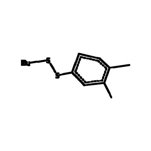 CCC(C)SSc1ccc(C)c(C)c1